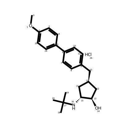 COc1ccc(-c2ccc(C[C@H]3C[C@@H](O)[C@H](NC(C)(C)C)C3)cc2)cc1.Cl